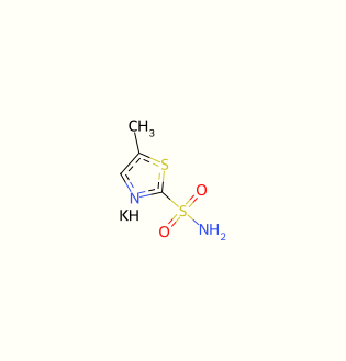 Cc1cnc(S(N)(=O)=O)s1.[KH]